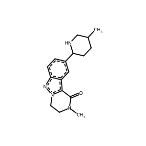 CC1CCC(c2ccc3nn4c(c3c2)C(=O)N(C)CC4)NC1